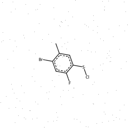 Cc1cc(SCl)c(F)cc1Br